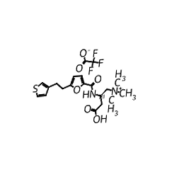 C[N+](C)(C)C[C@@H](CC(=O)O)NC(=O)c1ccc(CCc2ccsc2)o1.O=C([O-])C(F)(F)F